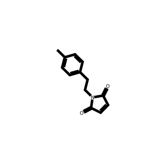 Cc1ccc(CCN2C(=O)C=CC2=O)cc1